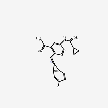 C=C(Nc1cc(C(C)=N)c(/C=C2\c3ccc(F)cc32)cn1)C1CC1